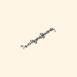 NCCCOCCCNC(=O)CSSCSSCC(=O)NCCCOCCCN